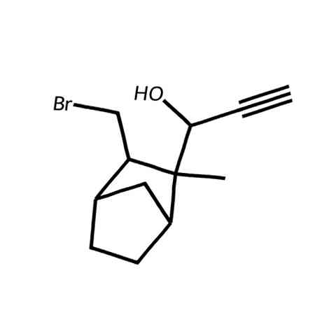 C#CC(O)C1(C)C2CCC(C2)C1CBr